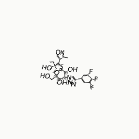 CCC(O)(CC)[C@H](S[C@@H]1O[C@H](CO)[C@H](O)[C@H](n2cc(-c3cc(F)c(F)c(F)c3)nn2)[C@H]1O)c1conc1C